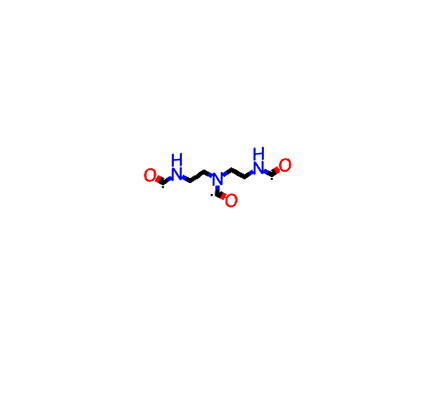 O=[C]NCCN([C]=O)CCN[C]=O